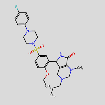 CCCN1CC2=C(C(=O)NC2c2cc(S(=O)(=O)N3CCN(c4ccc(F)cc4)CC3)ccc2OCC)N(C)C1